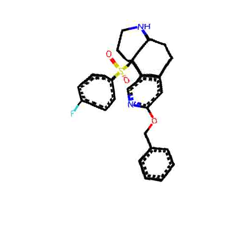 O=S(=O)(c1ccc(F)cc1)C12CCNC1CCc1cc(OCc3ccccc3)ncc12